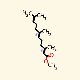 COC(=O)/C=C(\C)CC/C=C(\C)CCC=C(C)C